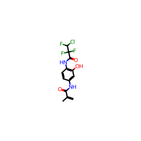 C=C(C)C(=O)Nc1ccc(NC(=O)C(F)(F)C(F)Cl)c(O)c1